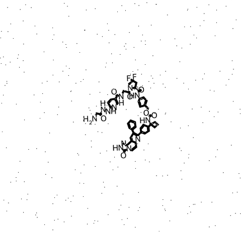 NCC(=O)NNc1ccc(C(=O)NCC(=O)N2CC(F)(F)C[C@H]2C(=O)Nc2ccc(COC(=O)NC3(c4ccc(-c5nc6ccn7c(=O)[nH]nc7c6cc5-c5ccccc5)cc4)CCC3)cc2)cn1